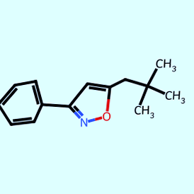 CC(C)(C)Cc1cc(-c2ccccc2)no1